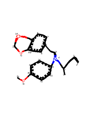 CCC(C)N(Cc1ccc2c(c1)OCO2)c1ccc(OC)cc1